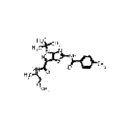 COCC(C)NC(=O)c1nn(C(C)(C)C)c2nc(NC(=O)c3ccc(C)cc3)sc12